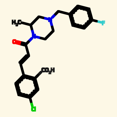 CC1CN(Cc2ccc(F)cc2)CCN1C(=O)C=Cc1ccc(Cl)cc1C(=O)O